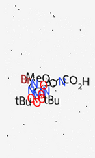 COc1cc(CN(C)C(=O)O)ccc1-c1nnc(-c2nc(Br)cnc2N(C(=O)OC(C)(C)C)C(=O)OC(C)(C)C)o1